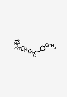 COc1ccc(CCC(=O)N2CC(N3CCN(C(=O)c4nccs4)CC3)C2)cc1